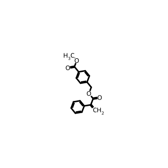 C=C(C(=O)OCc1ccc(C(=O)OC)cc1)c1ccccc1